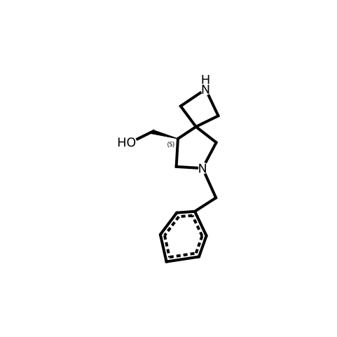 OC[C@@H]1CN(Cc2ccccc2)CC12CNC2